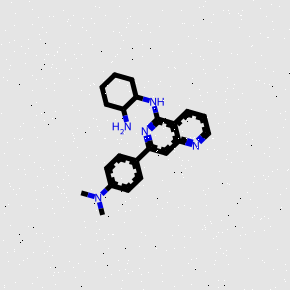 CN(C)c1ccc(-c2cc3ncccc3c(NC3CCCCC3N)n2)cc1